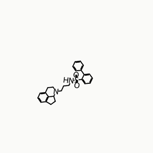 O=S(=O)(NCCCN1CCc2cccc3c2C1CC3)c1ccccc1-c1ccccc1